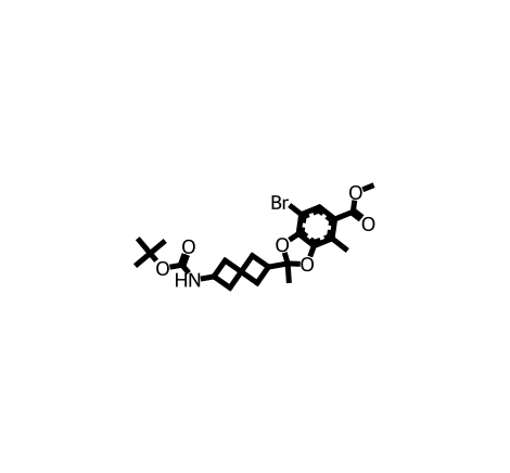 COC(=O)c1cc(Br)c2c(c1C)OC(C)(C1CC3(CC(NC(=O)OC(C)(C)C)C3)C1)O2